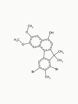 COc1cc2c(O)cc3c(c2cc1OC)-c1cc(Br)c(C)c(Br)c1C3(C)C